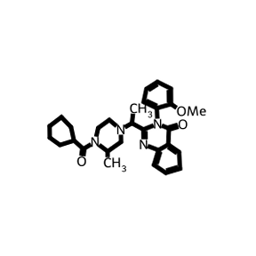 COc1ccccc1-n1c(C(C)N2CCN(C(=O)C3CCCCC3)C(C)C2)nc2ccccc2c1=O